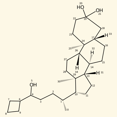 C[C@H](CCC(O)C1CCC1)[C@H]1CC[C@H]2[C@@H]3CC[C@H]4CC(O)(O)CC[C@]4(C)[C@H]3CC[C@]12C